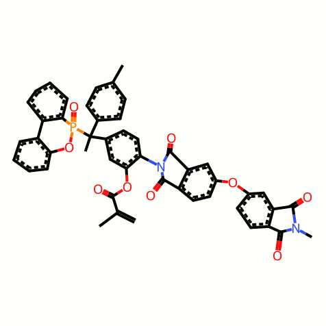 C=C(C)C(=O)Oc1cc(C(C)(c2ccc(C)cc2)P2(=O)Oc3ccccc3-c3ccccc32)ccc1N1C(=O)c2ccc(Oc3ccc4c(c3)C(=O)N(C)C4=O)cc2C1=O